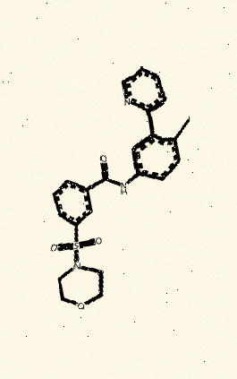 O=C(Nc1ccc(I)c(-c2ccccn2)c1)c1cccc(S(=O)(=O)N2CCOCC2)c1